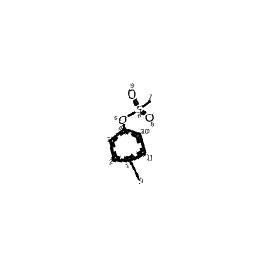 [CH2]c1ccc(OS(C)(=O)=O)cc1